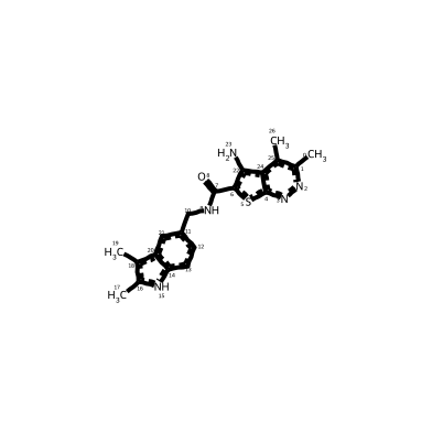 Cc1nnc2sc(C(=O)NCc3ccc4[nH]c(C)c(C)c4c3)c(N)c2c1C